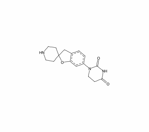 O=C1CCN(c2ccc3c(c2)OC2(CCNCC2)C3)C(=O)N1